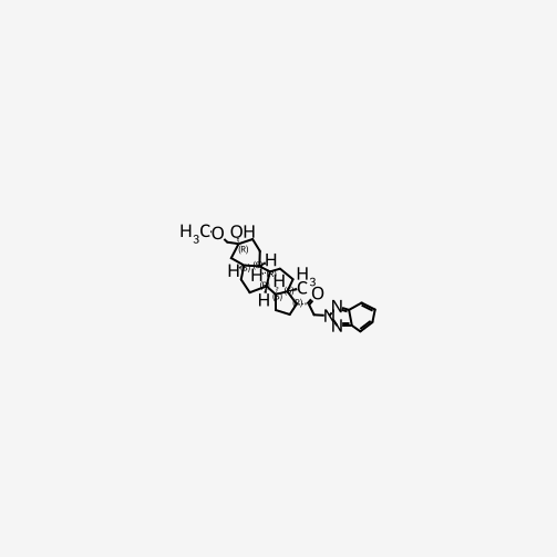 COC[C@@]1(O)CC[C@H]2[C@@H](CC[C@@H]3[C@@H]2CC[C@]2(C)[C@H](C(=O)Cn4nc5ccccc5n4)CC[C@@H]32)C1